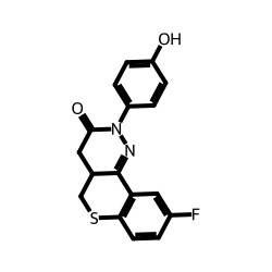 O=C1CC2CSc3ccc(F)cc3C2=NN1c1ccc(O)cc1